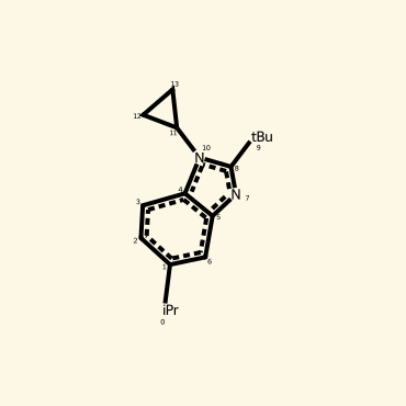 CC(C)c1ccc2c(c1)nc(C(C)(C)C)n2C1CC1